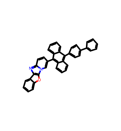 c1ccc(-c2ccc(-c3c4ccccc4c(-c4ccc5nc6c7ccccc7oc6n5c4)c4ccccc34)cc2)cc1